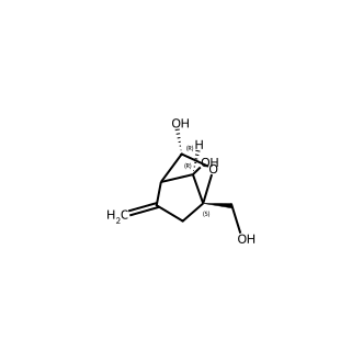 C=C1C[C@@]2(CO)O[C@@H](O)C1[C@H]2O